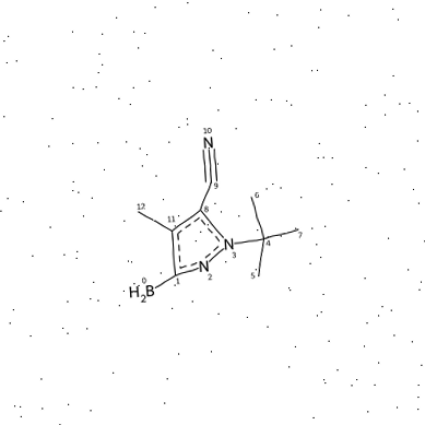 Bc1nn(C(C)(C)C)c(C#N)c1C